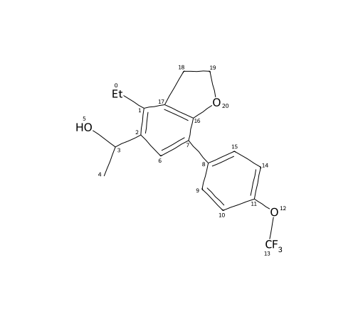 CCc1c(C(C)O)cc(-c2ccc(OC(F)(F)F)cc2)c2c1CCO2